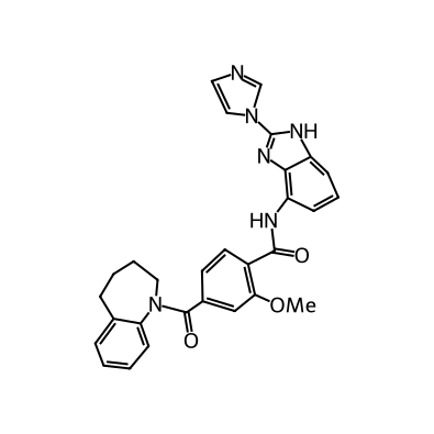 COc1cc(C(=O)N2CCCCc3ccccc32)ccc1C(=O)Nc1cccc2[nH]c(-n3ccnc3)nc12